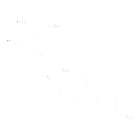 COc1cc(-c2nc3cccc(C(=O)c4ccc(C(C)(C)C)cc4)c3[nH]2)cc(OC)c1OC